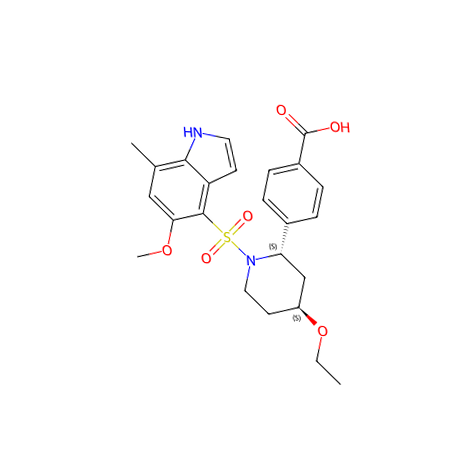 CCO[C@H]1CCN(S(=O)(=O)c2c(OC)cc(C)c3[nH]ccc23)[C@H](c2ccc(C(=O)O)cc2)C1